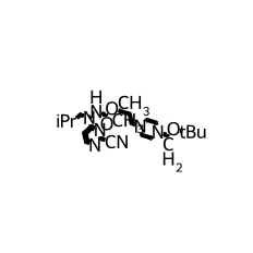 C=C(OC(C)(C)C)N1CCN(CCC(C)(C)OC(=O)NN(CC(C)C)c2ccnc(C#N)n2)CC1